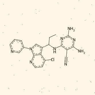 CCC(Nc1nc(N)nc(N)c1C#N)c1cn(-c2cccnc2)c2nccc(Cl)c12